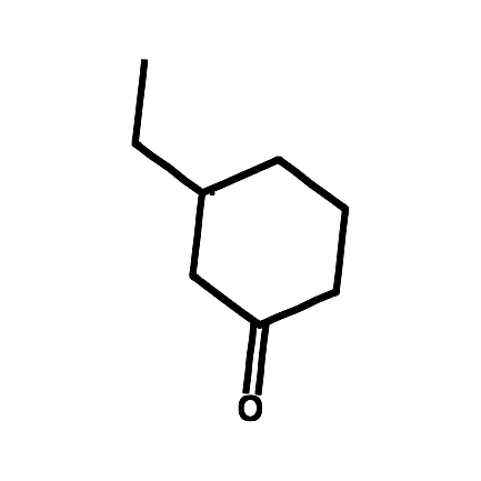 CC[C]1CCCC(=O)C1